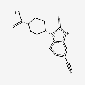 N#Cc1ccc2c(c1)[nH]c(=O)n2[C@H]1CC[C@@H](C(=O)O)CC1